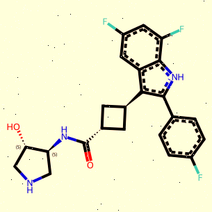 O=C(N[C@H]1CNC[C@@H]1O)[C@H]1C[C@H](c2c(-c3ccc(F)cc3)[nH]c3c(F)cc(F)cc32)C1